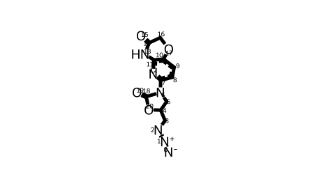 [N-]=[N+]=NCC1CN(c2ccc3c(n2)NC(=O)CO3)C(=O)O1